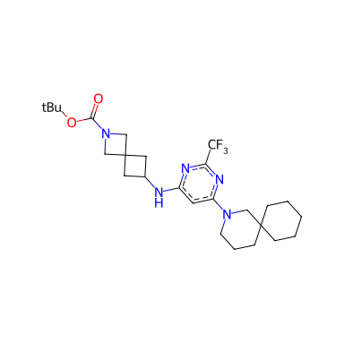 CC(C)(C)OC(=O)N1CC2(CC(Nc3cc(N4CCCC5(CCCCC5)C4)nc(C(F)(F)F)n3)C2)C1